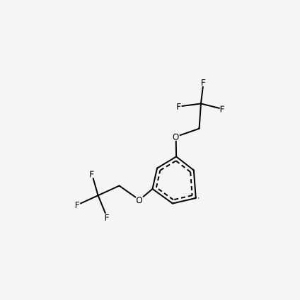 FC(F)(F)COc1c[c]cc(OCC(F)(F)F)c1